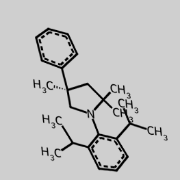 CC(C)c1cccc(C(C)C)c1N1C[C@@](C)(c2ccccc2)CC1(C)C